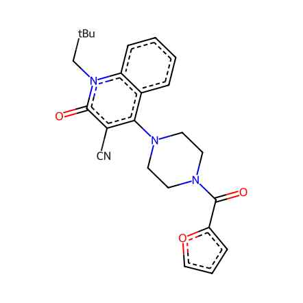 CC(C)(C)Cn1c(=O)c(C#N)c(N2CCN(C(=O)c3ccco3)CC2)c2ccccc21